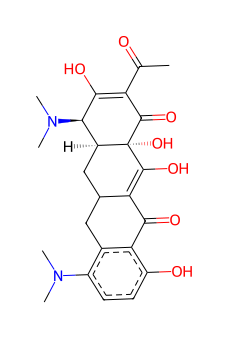 CC(=O)C1=C(O)[C@H](N(C)C)[C@@H]2CC3Cc4c(N(C)C)ccc(O)c4C(=O)C3=C(O)[C@]2(O)C1=O